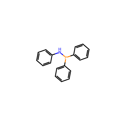 c1ccc(NP(c2ccccc2)c2ccccc2)cc1